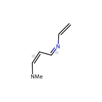 C=C/N=C\C=C/NC